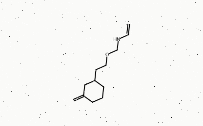 C=CNCOCCC1CCCC(=C)C1